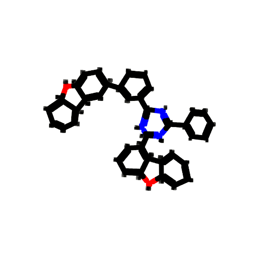 c1ccc(-c2nc(-c3cccc(-c4ccc5oc6ccccc6c5c4)c3)nc(-c3cccc4oc5ccccc5c34)n2)cc1